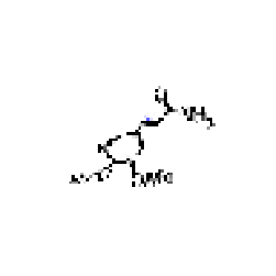 COC1N=CC(/C=C/C(N)=O)=CN1OC